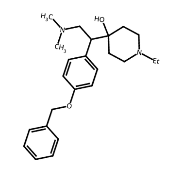 CCN1CCC(O)(C(CN(C)C)c2ccc(OCc3ccccc3)cc2)CC1